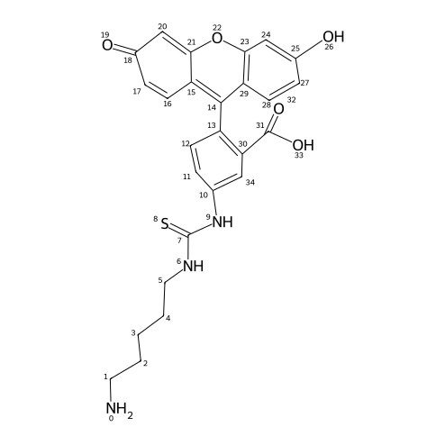 NCCCCCNC(=S)Nc1ccc(-c2c3ccc(=O)cc-3oc3cc(O)ccc23)c(C(=O)O)c1